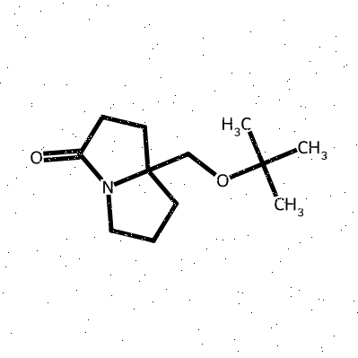 CC(C)(C)OCC12CCCN1C(=O)CC2